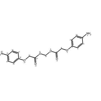 Nc1ccc(OCC(=O)OCOC(=O)COc2ccc(N)cc2)cc1